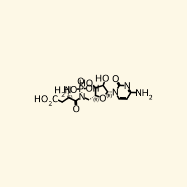 Nc1ccn([C@@H]2O[C@H](CN(C(=O)[C@@H](N)CC(=O)O)P(=O)(O)O)C(O)C2O)c(=O)n1